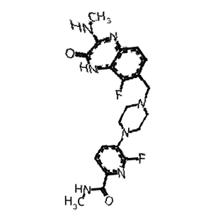 CNC(=O)c1ccc(N2CCN(Cc3ccc4nc(NC)c(=O)[nH]c4c3F)CC2)c(F)n1